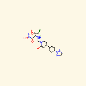 CC(O)(C(F)F)C(NCn1ccc(-c2ccc(-n3nccn3)cc2)cc1=O)C(=O)NO